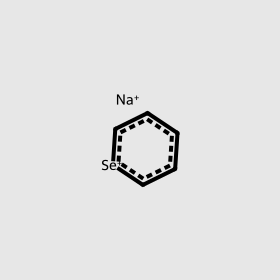 [Na+].c1cc[se+]cc1